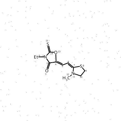 CCN1C(=O)C(=CC=C2SCCN2C)OC1=S